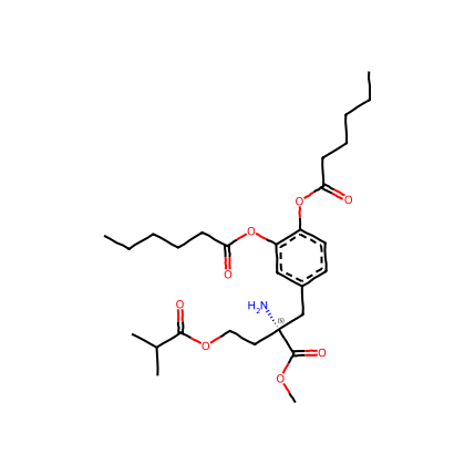 CCCCCC(=O)Oc1ccc(C[C@](N)(CCOC(=O)C(C)C)C(=O)OC)cc1OC(=O)CCCCC